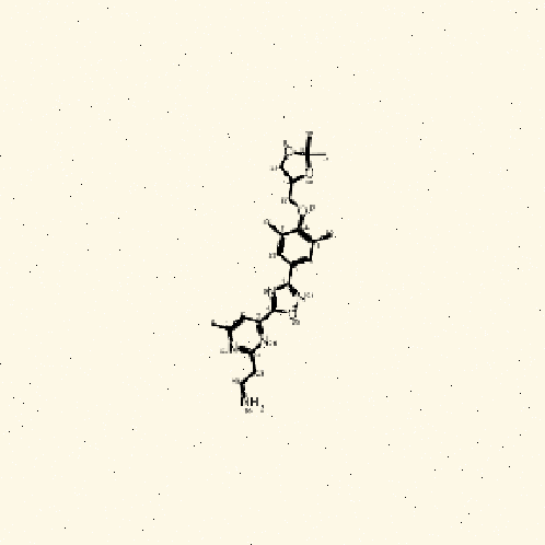 Cc1cc(-c2nc(-c3cc(C)c(OCC4COC(C)(C)O4)c(C)c3)no2)nc(CCN)n1